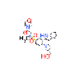 CN(CC(=O)N1CCOCC1)S(=O)(=O)c1ccc(N2CCC(CO)C2)c(-c2cc3ccccc3[nH]2)c1